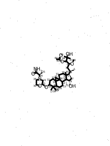 COC(C[C@@H](C)[C@H]1C[C@H](O)[C@@]2(C)C3CC[C@H]4C(C)(C)C(OC5CN([C@H](C)C(N)=O)CCO5)CCC45CC35CCC12C)C(OC(C)=O)C(C)(C)O